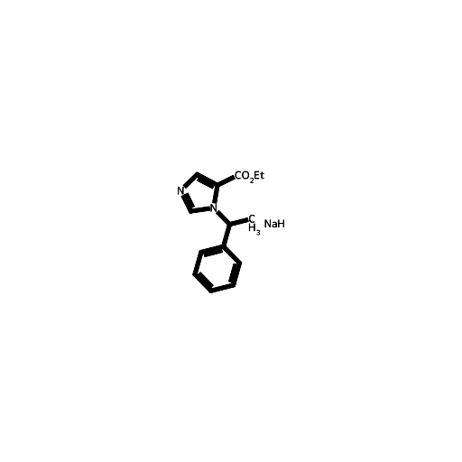 CCOC(=O)c1cncn1C(C)c1ccccc1.[NaH]